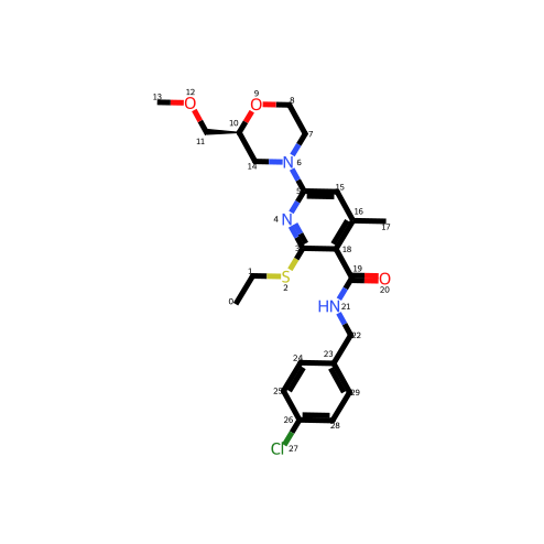 CCSc1nc(N2CCO[C@H](COC)C2)cc(C)c1C(=O)NCc1ccc(Cl)cc1